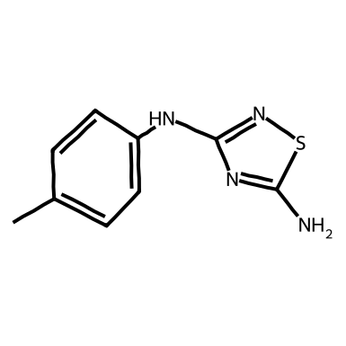 Cc1ccc(Nc2nsc(N)n2)cc1